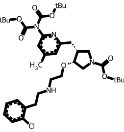 Cc1cc(C[C@@H]2CN(C(=O)OC(C)(C)C)C[C@@H]2OCCNCCc2ccccc2Cl)nc(N(C(=O)OC(C)(C)C)C(=O)OC(C)(C)C)c1